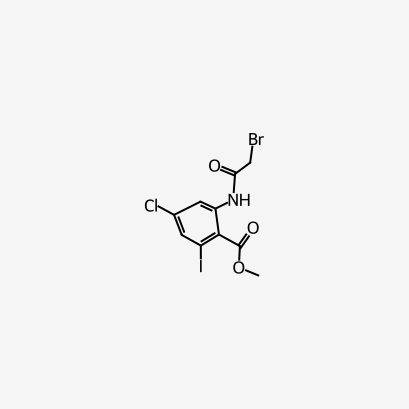 COC(=O)c1c(I)cc(Cl)cc1NC(=O)CBr